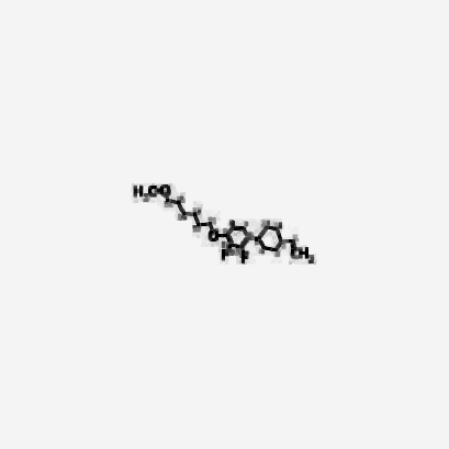 C=CC1CCC(c2ccc(OCCCCCCOC)c(F)c2F)CC1